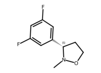 CN1OCC[C@H]1c1cc(F)cc(F)c1